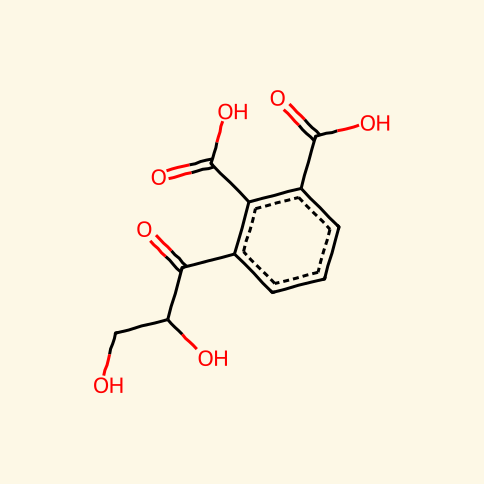 O=C(O)c1cccc(C(=O)C(O)CO)c1C(=O)O